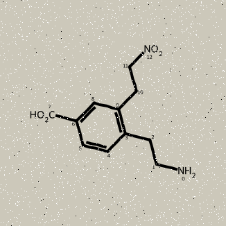 NCCc1ccc(C(=O)O)cc1CC[N+](=O)[O-]